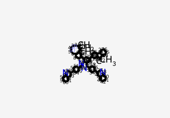 C=C1/C=C\C=C/Cc2ccc(-c3cc(-c4ccc5c(c4)C(C)(C)c4ccccc4-5)cc4c(-c5ccc(-c6cnc7ccccc7c6)cc5)nc(-c5ccc(-c6cnc7ccccc7c6)cc5)nc34)cc2C1(C)C